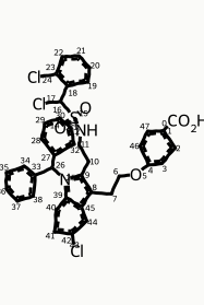 O=C(O)c1ccc(OCCc2c(CCNS(=O)(=O)C(Cl)c3ccccc3Cl)n(C(c3ccccc3)c3ccccc3)c3ccc(Cl)cc23)cc1